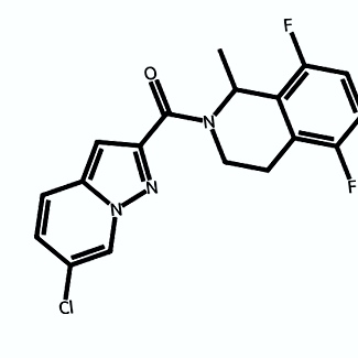 CC1c2c(F)ccc(F)c2CCN1C(=O)c1cc2ccc(Cl)cn2n1